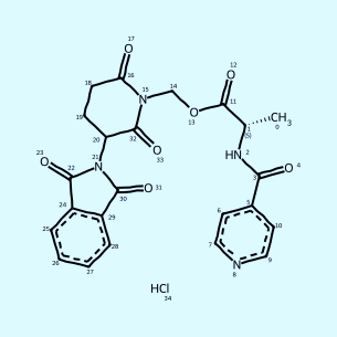 C[C@H](NC(=O)c1ccncc1)C(=O)OCN1C(=O)CCC(N2C(=O)c3ccccc3C2=O)C1=O.Cl